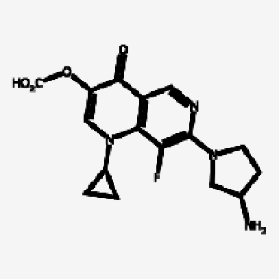 NC1CCN(c2ncc3c(=O)c(OC(=O)O)cn(C4CC4)c3c2F)C1